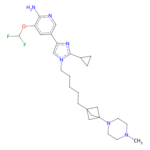 CN1CCN(C23CC(CCCCCn4cc(-c5cnc(N)c(OC(F)F)c5)nc4C4CC4)(C2)C3)CC1